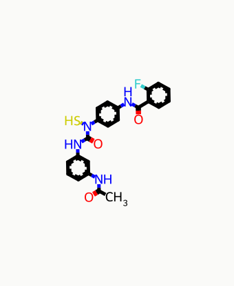 CC(=O)Nc1cccc(NC(=O)N(S)c2ccc(NC(=O)c3ccccc3F)cc2)c1